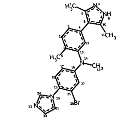 Cc1ccc(-c2c(C)n[nH]c2C)cc1N(C)c1ccc(-n2ccnc2)c(Br)c1